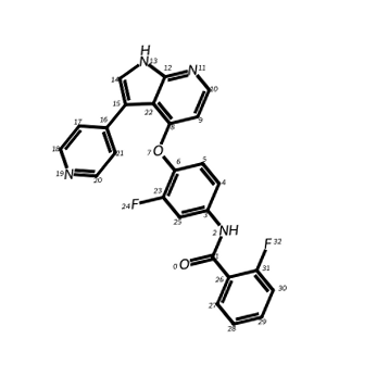 O=C(Nc1ccc(Oc2ccnc3[nH]cc(-c4ccncc4)c23)c(F)c1)c1ccccc1F